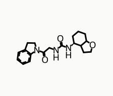 O=C(NCC(=O)N1CCc2ccccc21)N[C@H]1CCCC2OCCC21